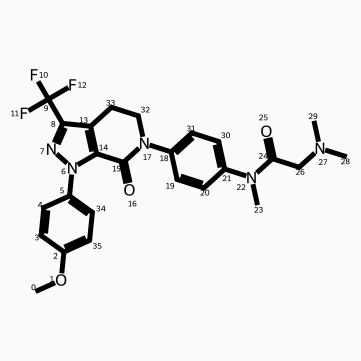 COc1ccc(-n2nc(C(F)(F)F)c3c2C(=O)N(c2ccc(N(C)C(=O)CN(C)C)cc2)CC3)cc1